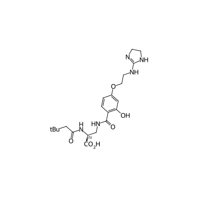 CC(C)(C)CC(=O)N[C@@H](CNC(=O)c1ccc(OCCNC2=NCCN2)cc1O)C(=O)O